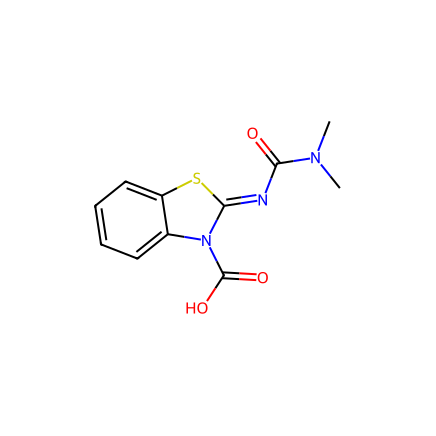 CN(C)C(=O)/N=c1\sc2ccccc2n1C(=O)O